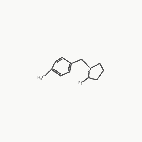 CCC1CCCN1Cc1ccc(C)cc1